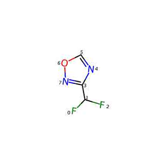 FC(F)c1ncon1